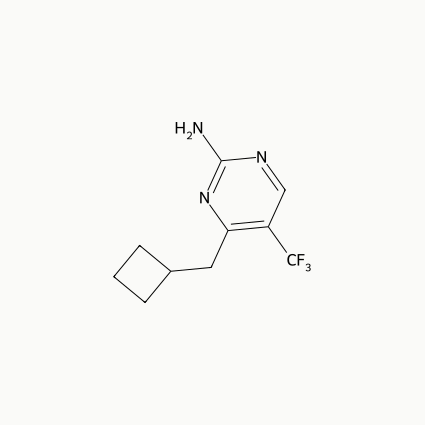 Nc1ncc(C(F)(F)F)c(CC2CCC2)n1